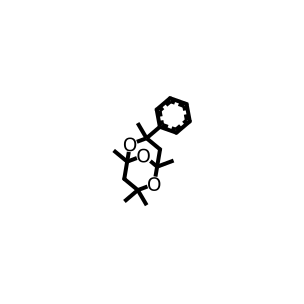 CC1(C)CC2(C)OC(C)(CC(C)(c3ccccc3)O2)O1